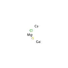 [Cl].[Cs].[Ga].[Mg].[S]